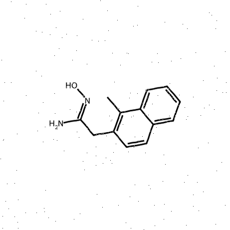 Cc1c(CC(N)=NO)ccc2ccccc12